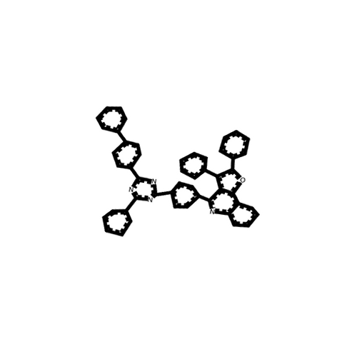 c1ccc(-c2ccc(-c3nc(-c4ccccc4)nc(-c4ccc(-c5nc6ccccc6c6oc(-c7ccccc7)c(-c7ccccc7)c56)cc4)n3)cc2)cc1